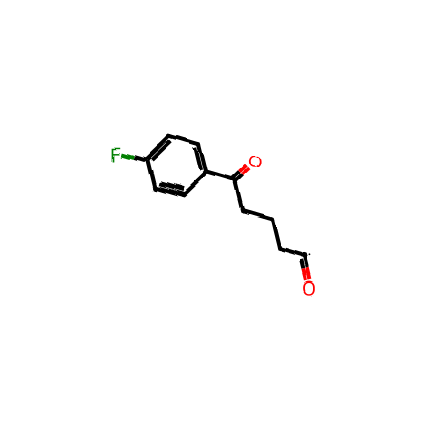 O=[C]CCCC(=O)c1ccc(F)cc1